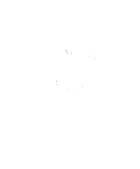 Brc1ccccc1-c1ccc(-c2ncc[nH]2)o1.Cl